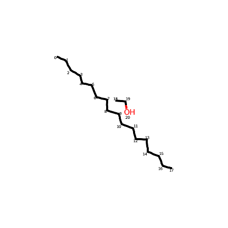 CCCCCCCCCCCCCCCCCC.CCO